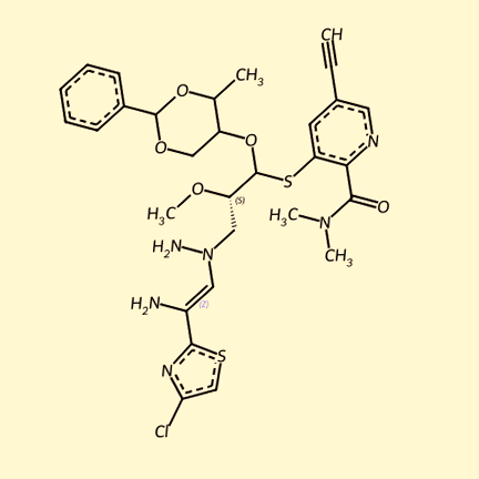 C#Cc1cnc(C(=O)N(C)C)c(SC(OC2COC(c3ccccc3)OC2C)[C@H](CN(N)/C=C(\N)c2nc(Cl)cs2)OC)c1